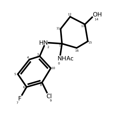 CC(=O)NC1(Nc2ccc(F)c(Cl)c2)CCC(O)CC1